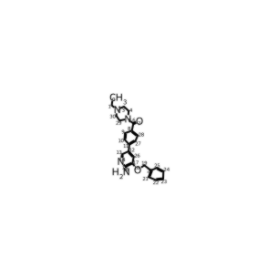 CCN1CCN(C(=O)c2ccc(-c3cnc(N)c(OCc4ccccc4)c3)cc2)CC1